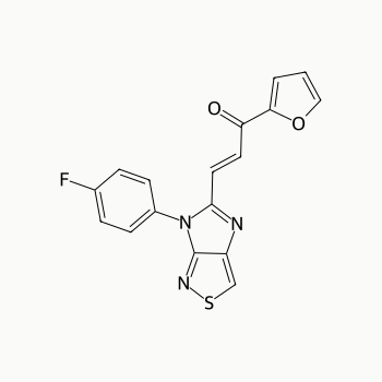 O=C(C=Cc1nc2csnc2n1-c1ccc(F)cc1)c1ccco1